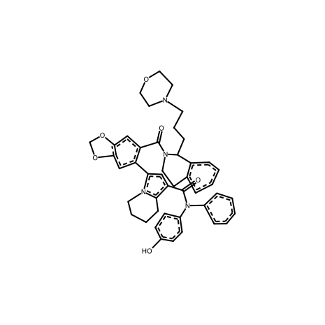 O=C(c1cc(-c2cc3c(cc2C(=O)N2CCc4ccccc4C2CCCN2CCOCC2)OCO3)n2c1CCCC2)N(c1ccccc1)c1ccc(O)cc1